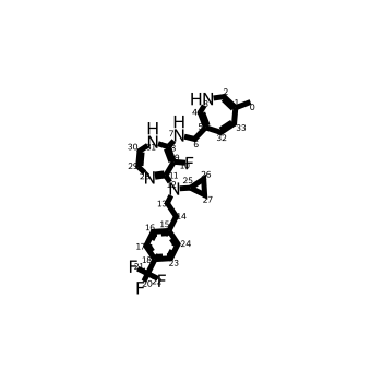 CC1=CNC=C(CNC2=C(F)C(N(CCc3ccc(C(F)(F)F)cc3)C3CC3)=NC=CN2)C=C1